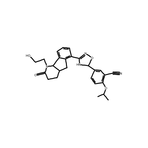 CC(C)Oc1ccc(C2NC(c3cccc4c3CC3CCC(=O)N(CCO)C43)=NO2)cc1C#N